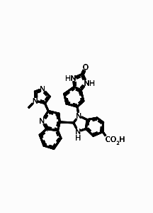 Cn1cncc1-c1cc(C2Nc3cc(C(=O)O)ccc3N2c2ccc3[nH]c(=O)[nH]c3c2)c2ccccc2n1